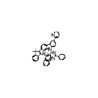 CC1(C)c2ccccc2-c2c1c1ccc3c4cc(-c5ccccn5)ccc4n(-c4nc(-c5ccccc5)nc(-c5ccccc5)n4)c3c1n2-c1ccccc1